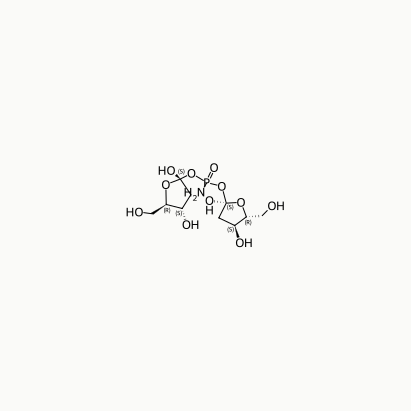 NP(=O)(O[C@]1(O)C[C@H](O)[C@@H](CO)O1)O[C@]1(O)C[C@H](O)[C@@H](CO)O1